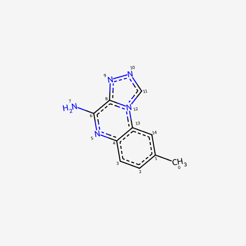 Cc1ccc2nc(N)c3nncn3c2c1